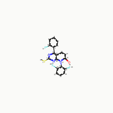 CSc1nc(-c2ccccc2F)c2ccc(=O)n(-c3c(F)cccc3F)c2n1